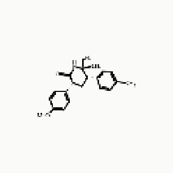 COc1ccc([C@H]2C[C@@H](c3ccc(C)cc3)C(C)(C)NC2=O)cc1